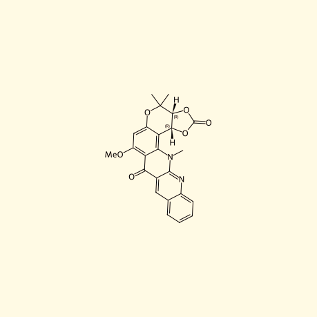 COc1cc2c(c3c1c(=O)c1cc4ccccc4nc1n3C)[C@H]1OC(=O)O[C@H]1C(C)(C)O2